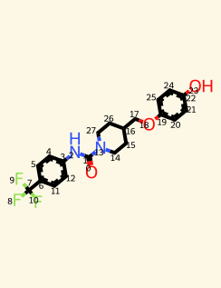 O=C(Nc1ccc(C(F)(F)F)cc1)N1CCC(COc2ccc(O)cc2)CC1